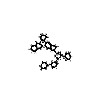 c1ccc(-c2cccc(-c3nc(-c4ccccc4)nc(-c4ccc5cc(-c6ccccc6-c6ccc7ccccc7c6)ccc5c4)n3)c2)cc1